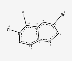 Clc1cnc2ncc(Br)cc2c1I